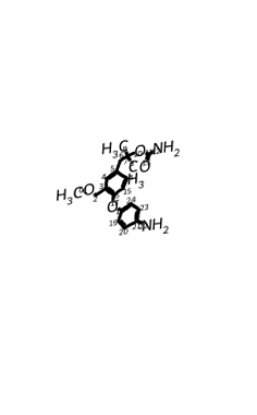 COCc1cc(CC(C)(C)OC(N)=O)ccc1Oc1ccc(N)cc1